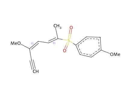 C#C/C(=C\C=C(/C)S(=O)(=O)c1ccc(OC)cc1)OC